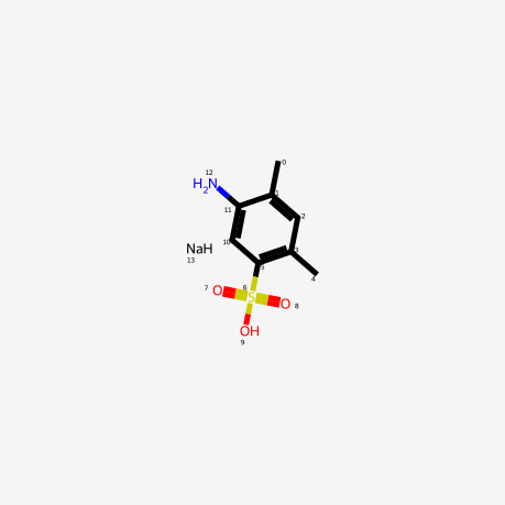 Cc1cc(C)c(S(=O)(=O)O)cc1N.[NaH]